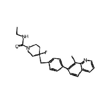 CCNC(=O)N1CCC(F)(Cc2ccc(-c3ccc4cccnc4c3C)cc2)CC1